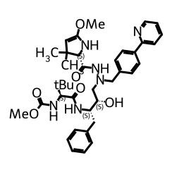 COC(=O)N[C@H](C(=O)N[C@@H](Cc1ccccc1)[C@@H](O)CN(Cc1ccc(-c2ccccn2)cc1)NC(=O)[C@H]1NC(OC)=CC1(C)C)C(C)(C)C